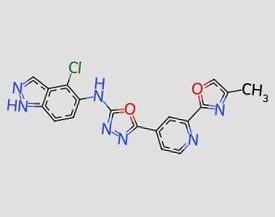 Cc1coc(-c2cc(-c3nnc(Nc4ccc5[nH]ncc5c4Cl)o3)ccn2)n1